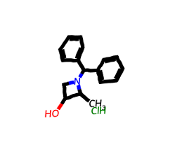 CC1C(O)CN1C(c1ccccc1)c1ccccc1.Cl